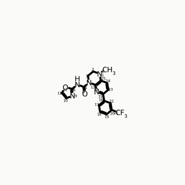 CN1CCN(C(=O)Nc2ncco2)c2nc(-c3cccc(C(F)(F)F)c3)ccc21